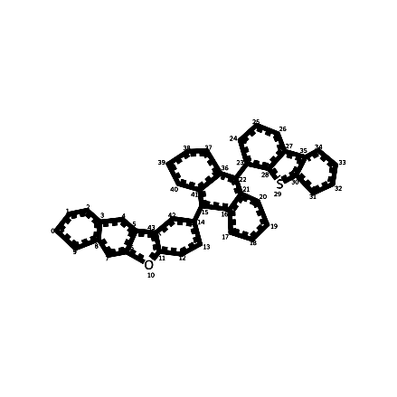 c1ccc2cc3c(cc2c1)oc1ccc(-c2c4ccccc4c(-c4cccc5c4sc4ccccc45)c4ccccc24)cc13